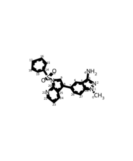 Cn1nc(N)c2cc(-c3cn(S(=O)(=O)c4ccccc4)c4ncccc34)ccc21